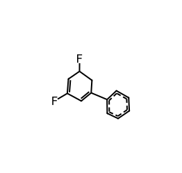 FC1=CC(F)CC(c2ccccc2)=C1